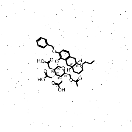 CCCN1CCC[C@@H]2Cc3c(ccc(OCc4ccccc4)c3O[C@@H]3O[C@@H](COC(C)=O)[C@H](CC(=O)O)[C@H](CC(=O)O)[C@H]3CC(=O)O)C[C@H]21